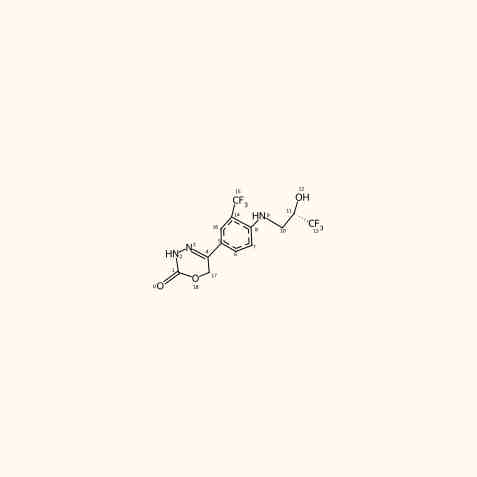 O=C1NN=C(c2ccc(NC[C@H](O)C(F)(F)F)c(C(F)(F)F)c2)CO1